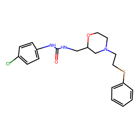 O=C(NCC1CN(CCSc2ccccc2)CCO1)Nc1ccc(Cl)cc1